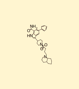 NC(=O)c1cc(-c2ccccc2)cc2c(C3CCN(S(=O)(=O)CCCN4CCCC5CCCCC54)CC3)c[nH]c12